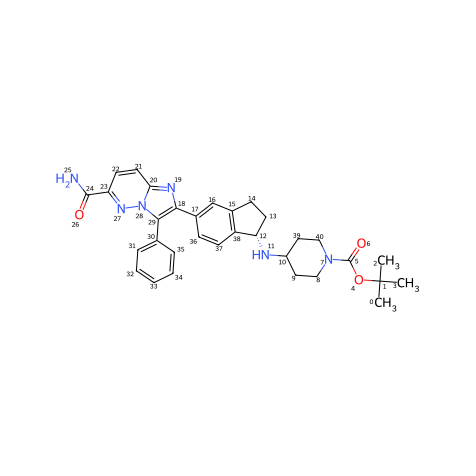 CC(C)(C)OC(=O)N1CCC(N[C@H]2CCc3cc(-c4nc5ccc(C(N)=O)nn5c4-c4ccccc4)ccc32)CC1